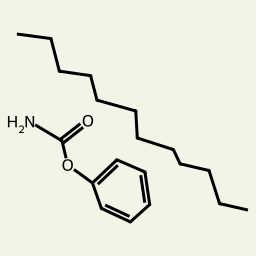 CCCCCCCCCCCC.NC(=O)Oc1ccccc1